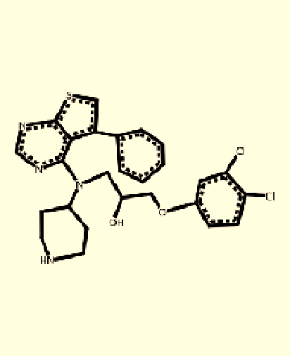 OC(COc1ccc(Cl)c(Cl)c1)CN(c1ncnc2scc(-c3ccccc3)c12)C1CCNCC1